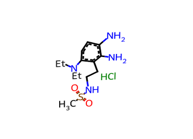 CCN(CC)c1ccc(N)c(N)c1CCNS(C)(=O)=O.Cl